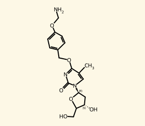 Cc1cn([C@H]2C[C@H](O)C(CO)O2)c(=O)nc1OCc1ccc(OCN)cc1